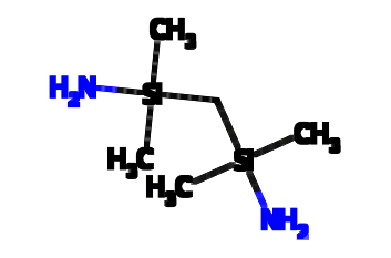 C[Si](C)(N)C[Si](C)(C)N